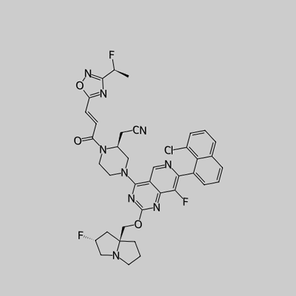 C[C@H](F)c1noc(/C=C/C(=O)N2CCN(c3nc(OC[C@@]45CCCN4C[C@H](F)C5)nc4c(F)c(-c5cccc6cccc(Cl)c56)ncc34)C[C@@H]2CC#N)n1